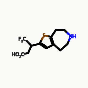 O=C(O)CC(c1cc2c(s1)CCNCC2)C(F)(F)F